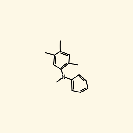 Cc1cc(C)c(N(C)c2ccccc2)cc1C